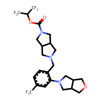 O=C(OC(C(F)(F)F)C(F)(F)F)N1CC2CN(Cc3ccc(C(F)(F)F)cc3N3CC4COCC4C3)CC2C1